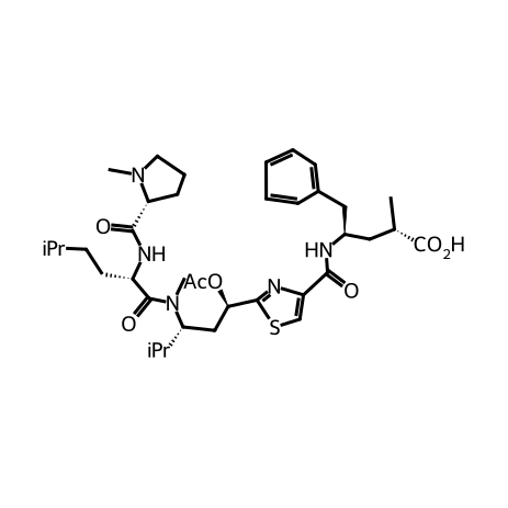 CC(=O)O[C@H](C[C@H](C(C)C)N(C)C(=O)[C@H](CCC(C)C)NC(=O)[C@H]1CCCN1C)c1nc(C(=O)N[C@@H](Cc2ccccc2)C[C@H](C)C(=O)O)cs1